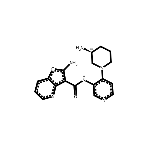 Nc1oc2cccnc2c1C(=O)Nc1cnccc1N1CCC[C@H](N)C1